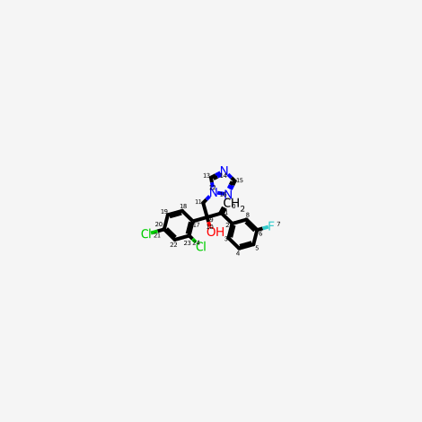 C=C(c1cccc(F)c1)C(O)(Cn1cncn1)c1ccc(Cl)cc1Cl